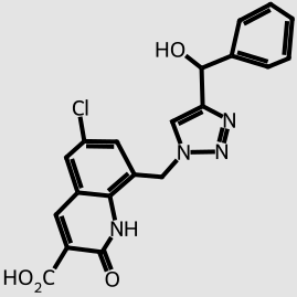 O=C(O)c1cc2cc(Cl)cc(Cn3cc(C(O)c4ccccc4)nn3)c2[nH]c1=O